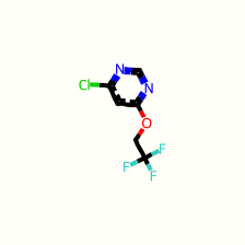 FC(F)(F)COc1cc(Cl)ncn1